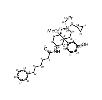 COC12CC[C@H](NC(=O)CCCCCc3ccccc3)C[C@@]1(c1cccc(O)c1)CC[N@+](CC(C)C)(CC1CC1)C2